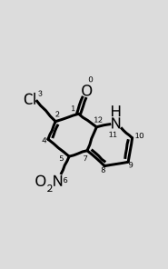 O=C1C(Cl)=CC([N+](=O)[O-])C2=CC=CNC12